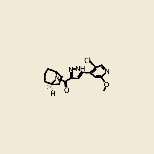 COc1cc(-c2cc(C(=O)N3C4CCC[C@@H]3CC4)n[nH]2)c(Cl)cn1